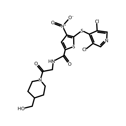 O=C(NCC(=O)N1CCC(CO)CC1)c1cc([N+](=O)[O-])c(Sc2c(Cl)cncc2Cl)s1